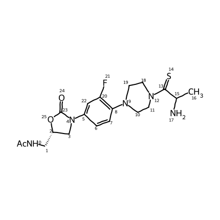 CC(=O)NC[C@H]1CN(c2ccc(N3CCN(C(=S)C(C)N)CC3)c(F)c2)C(=O)O1